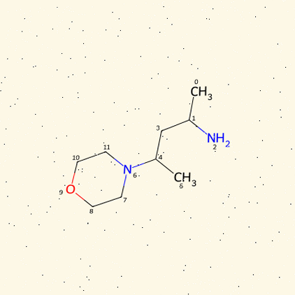 CC(N)CC(C)N1CCOCC1